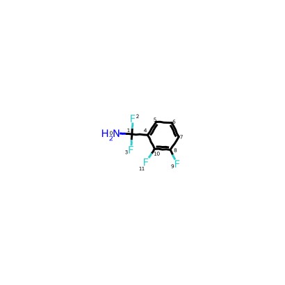 NC(F)(F)c1cccc(F)c1F